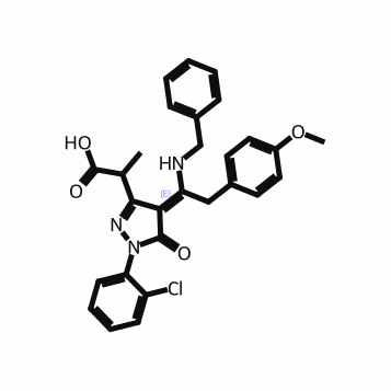 COc1ccc(C/C(NCc2ccccc2)=C2\C(=O)N(c3ccccc3Cl)N=C2C(C)C(=O)O)cc1